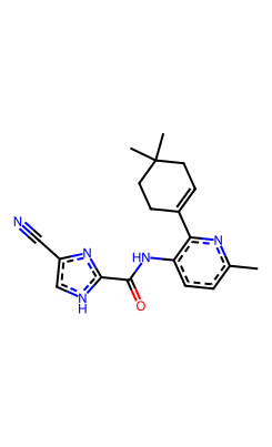 Cc1ccc(NC(=O)c2nc(C#N)c[nH]2)c(C2=CCC(C)(C)CC2)n1